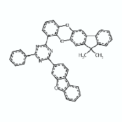 CC1(C)c2ccccc2-c2cc3c(cc21)Oc1c(cccc1-c1nc(-c2ccccc2)nc(-c2ccc4c(c2)oc2ccccc24)n1)O3